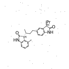 Cc1cccc2c1[C@@H](C(C)CCc1ccc3c(c1)[C@@H](C(C)C)C(=O)N3)C(=O)N2